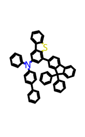 c1ccc(-c2ccc(N(c3ccccc3)c3cc(-c4ccc5c(c4)C(c4ccccc4)(c4ccccc4)c4ccccc4-5)c4sc5ccccc5c4c3)cc2)cc1